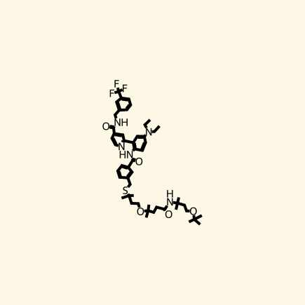 CCN(CC)c1ccc(NC(=O)c2cccc(CSC(C)(C)CCOC(C)(C)CCC(=O)NC(C)(C)CCOC(C)(C)C)c2)c(-c2cc(C(=O)NCc3cccc(C(F)(F)F)c3)ccn2)c1